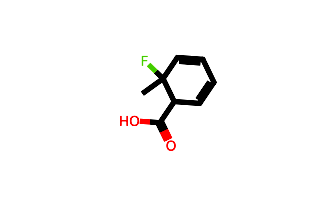 CC1(F)C=CC=CC1C(=O)O